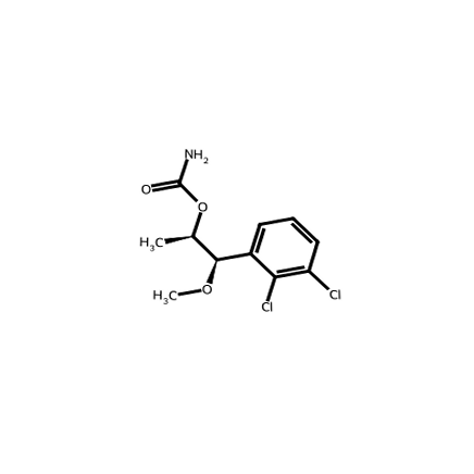 CO[C@H](c1cccc(Cl)c1Cl)[C@@H](C)OC(N)=O